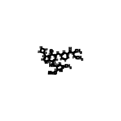 C=CC(=C)Nc1cccc(Cn2cc(Nc3cn(C)nc3OC)c3ncc(C4CCC4)n3c2=O)c1